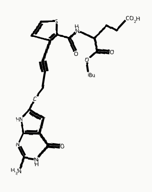 CCC(C)OC(=O)C(CCC(=O)O)NC(=O)c1sccc1C#CCCc1cc2c(=O)[nH]c(N)nc2[nH]1